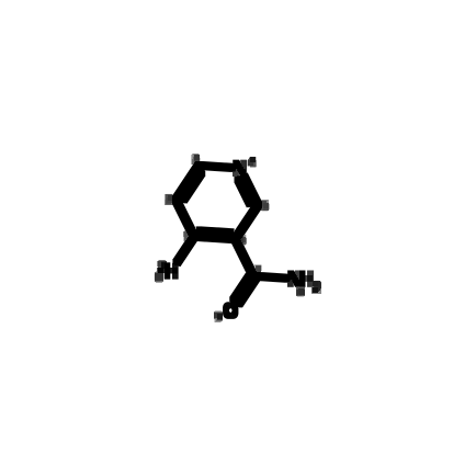 [2H]c1ccncc1C(N)=O